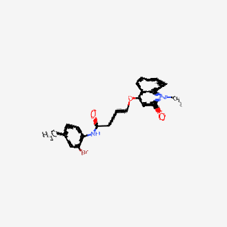 Cc1ccc(NC(=O)CCCOc2cc(=O)n(C)c3ccccc23)c(Br)c1